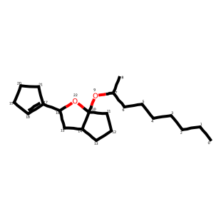 CCCCCCCC(C)OC12CCCC1CC(C1=CCCC1)O2